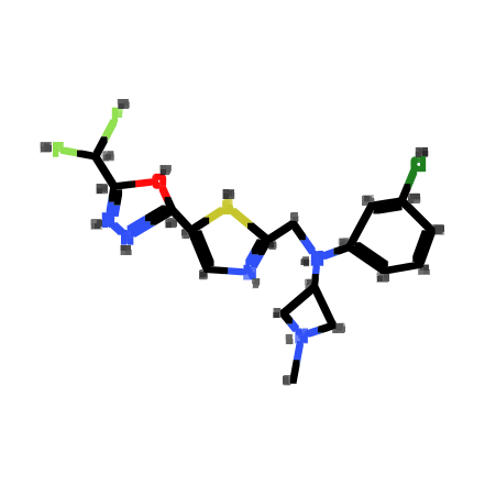 CN1CC(N(Cc2ncc(-c3nnc(C(F)F)o3)s2)c2cccc(Cl)c2)C1